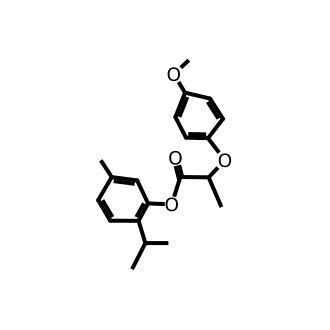 COc1ccc(OC(C)C(=O)Oc2cc(C)ccc2C(C)C)cc1